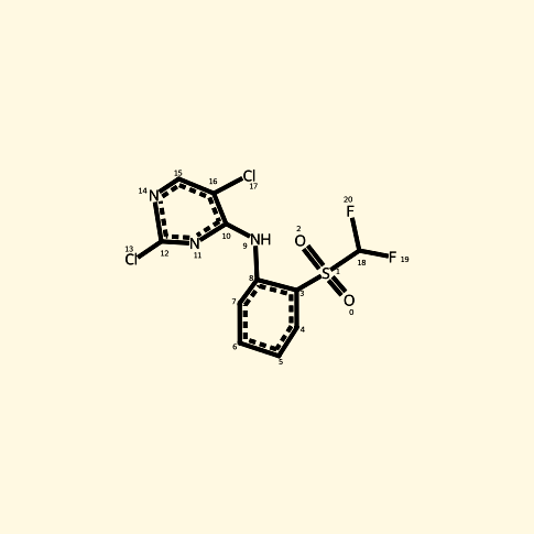 O=S(=O)(c1ccccc1Nc1nc(Cl)ncc1Cl)C(F)F